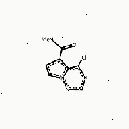 CNC(=O)c1ccn2ncnc(Cl)c12